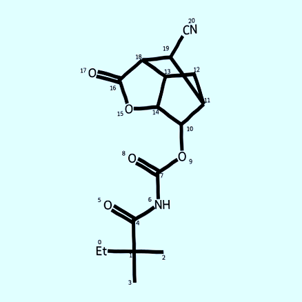 CCC(C)(C)C(=O)NC(=O)OC1C2CC3C1OC(=O)C3C2C#N